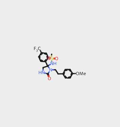 COc1ccc(CCN2C(=O)NCC2(NS(C)(=O)=O)c2ccc(C(F)(F)F)cc2)cc1